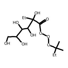 CCC(C)(C)OOOC(=O)C(O)(CC)C(O)C(O)C(O)CO